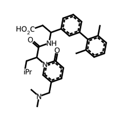 Cc1cccc(C)c1-c1cccc(C(CC(=O)O)NC(=O)C(CC(C)C)n2cc(CN(C)C)ccc2=O)c1